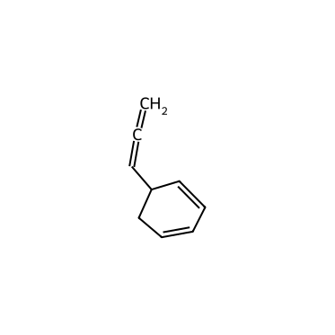 C=C=CC1C=CC=CC1